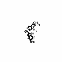 CC(C)(O)CC1CCN(C(=O)c2cc3cc(C(C)(C)C)ccc3[nH]2)CC1